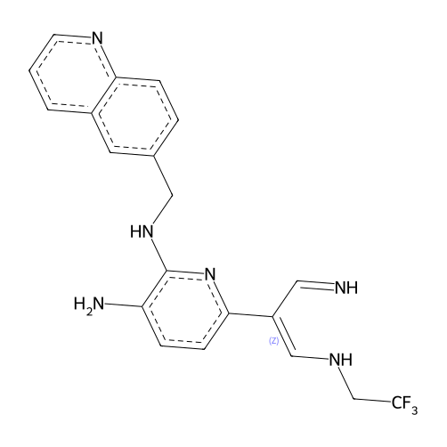 N=C/C(=C\NCC(F)(F)F)c1ccc(N)c(NCc2ccc3ncccc3c2)n1